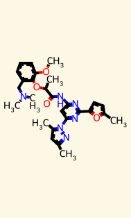 COc1cccc(CN(C)C)c1OC(C)C(=O)Nc1cc(-n2nc(C)cc2C)nc(-c2ccc(C)o2)n1